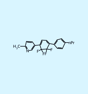 CCCc1ccc(C2=CC=C(c3ccc(C)nc3)C(F)(F)C2(F)F)cc1